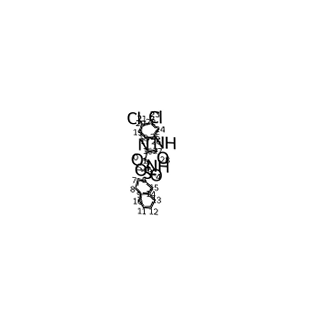 O=C(NS(=O)(=O)c1ccc2ccccc2c1)c1nc2cc(Cl)c(Cl)cc2[nH]c1=O